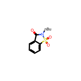 [CH2]CCCN1C(=O)c2ccccc2S1(=O)=O